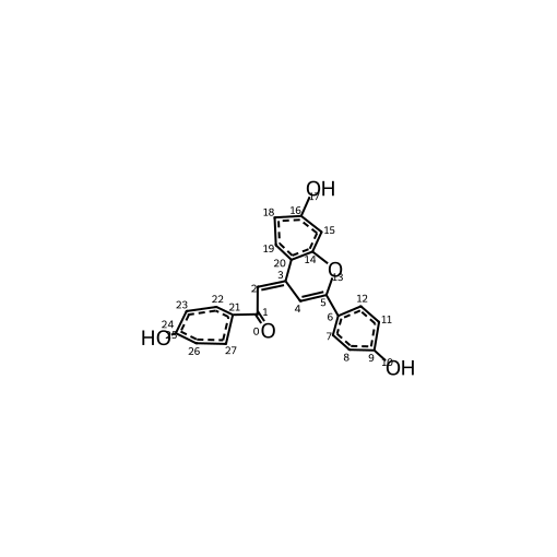 O=C(C=C1C=C(c2ccc(O)cc2)Oc2cc(O)ccc21)c1ccc(O)cc1